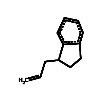 C=CCC1CCc2ccccc21